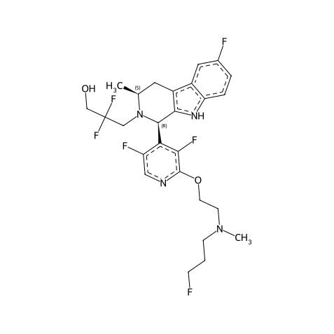 C[C@H]1Cc2c([nH]c3ccc(F)cc23)[C@@H](c2c(F)cnc(OCCN(C)CCCF)c2F)N1CC(F)(F)CO